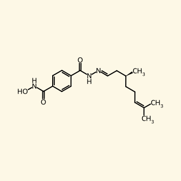 CC(C)=CCC[C@H](C)C/C=N/NC(=O)c1ccc(C(=O)NO)cc1